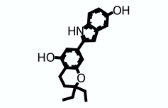 CCC1(CC)CCc2c(O)cc(-c3cc4cc(O)ccc4[nH]3)cc2O1